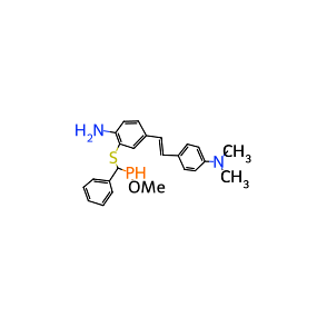 COPC(Sc1cc(/C=C/c2ccc(N(C)C)cc2)ccc1N)c1ccccc1